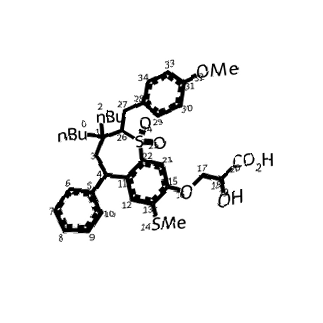 CCCCC1(CCCC)CC(c2ccccc2)c2cc(SC)c(OCC(O)C(=O)O)cc2S(=O)(=O)C1Cc1ccc(OC)cc1